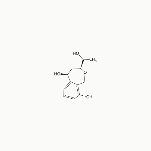 CC(O)[C@@H]1C[C@H](O)c2cccc(O)c2CO1